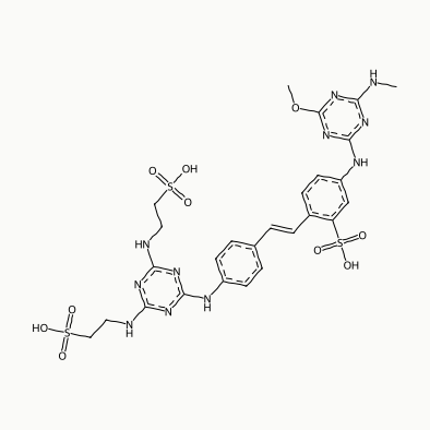 CNc1nc(Nc2ccc(C=Cc3ccc(Nc4nc(NCCS(=O)(=O)O)nc(NCCS(=O)(=O)O)n4)cc3)c(S(=O)(=O)O)c2)nc(OC)n1